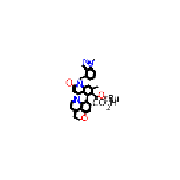 Cc1cc2c(ccc(=O)n2Cc2cccc3c2cnn3C)c(-c2ccc3c4c(ccnc24)CCO3)c1C(OC(C)(C)C)C(=O)O